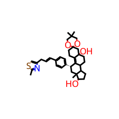 Cc1nc(C/C=C/c2ccc([C@H]3CC4(C)C(O)CCC4C4CCC5(O)CC6(CCC5=C43)OCC(C)(C)CO6)cc2)cs1